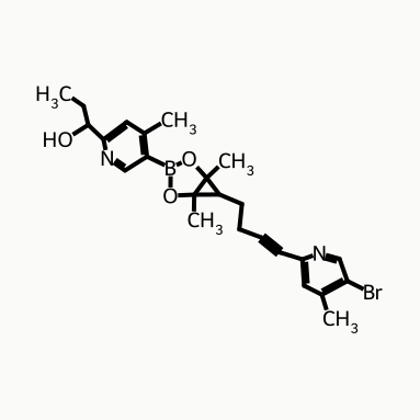 CCC(O)c1cc(C)c(B2OC3(C)C(CCC#Cc4cc(C)c(Br)cn4)C3(C)O2)cn1